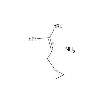 CCC/C(=C(/N)CC1CC1)C(C)(C)C